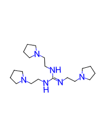 C1CCN(CCN=C(NCCN2CCCC2)NCCN2CCCC2)C1